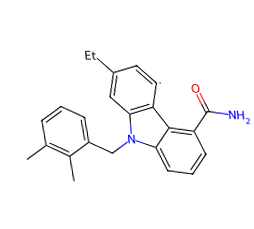 CCc1c[c]c2c3c(C(N)=O)cccc3n(Cc3cccc(C)c3C)c2c1